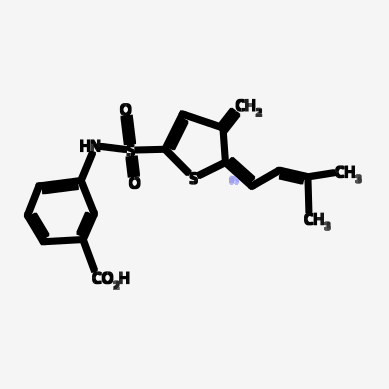 C=c1cc(S(=O)(=O)Nc2cccc(C(=O)O)c2)s/c1=C/C=C(C)C